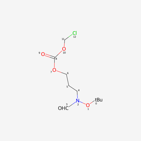 CC(C)(C)ON(C=O)CCCOC(=O)OCCl